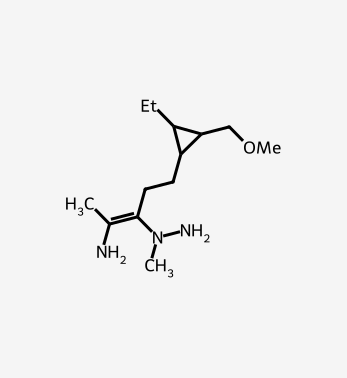 CCC1C(CC/C(=C(\C)N)N(C)N)C1COC